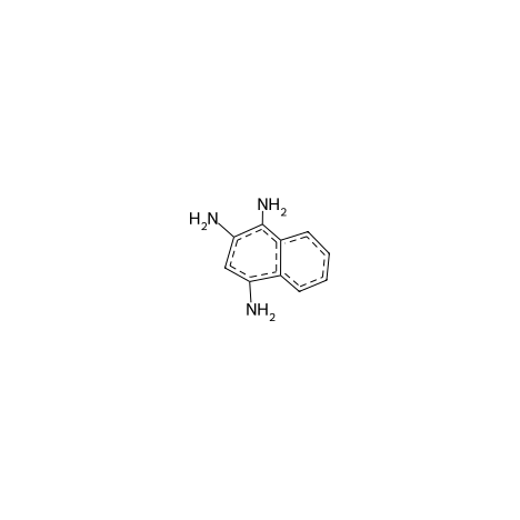 Nc1cc(N)c2ccccc2c1N